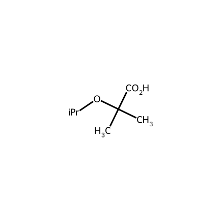 CC(C)OC(C)(C)C(=O)O